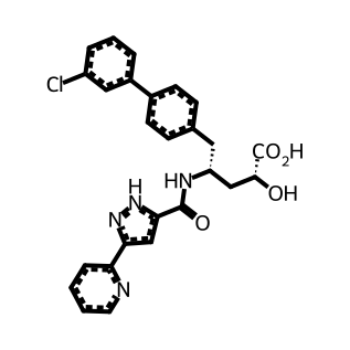 O=C(N[C@H](Cc1ccc(-c2cccc(Cl)c2)cc1)C[C@@H](O)C(=O)O)c1cc(-c2ccccn2)n[nH]1